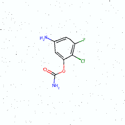 NC(=O)Oc1cc(N)cc(F)c1Cl